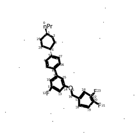 CCC[C@H]1CC[C@H](c2ccc(-c3cc(F)cc(OCc4ccc(F)c(F)c4)c3)cc2)CC1